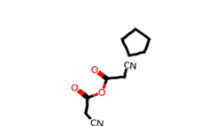 C1CCCC1.N#CCC(=O)OC(=O)CC#N